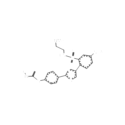 CNCCNS(=O)(=O)c1cc(NC(C)=O)ccc1-c1cnc(-c2ccc(NC(=S)NC(C)C)cc2)s1